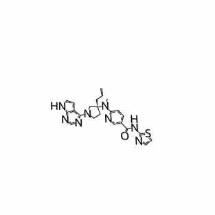 C=CC[C@@]1(N(C)c2ccc(C(=O)Nc3nccs3)cn2)CCN(c2ncnc3[nH]ccc23)C1